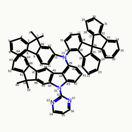 CC1(C)c2ccccc2-c2ccc(N(c3cccc4c3-c3ccccc3C43c4ccccc4-c4ccccc43)c3cccc4c3c3cc5c(cc3n4-c3ncccn3)C(C)(C)c3ccccc3-5)cc21